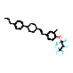 CCCc1ccc(C2CCC(C=Cc3ccc(OC(F)(F)C(F)C(F)(F)F)c(C)c3)CC2)cc1